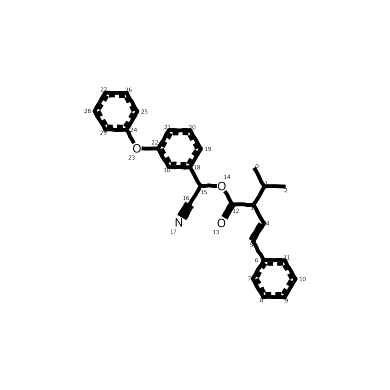 CC(C)C(/C=C/c1ccccc1)C(=O)OC(C#N)c1cccc(Oc2ccccc2)c1